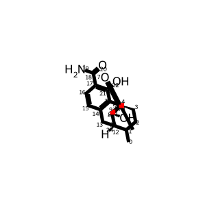 CC1CC[C@]23CC(=O)CC[C@@]2(O)[C@H]1Cc1ccc(C(N)=O)c(O)c13